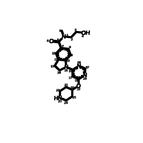 CN(CCO)C(=O)c1ccc2c(c1)CCN2c1cc(OC2CCNCC2)ncn1